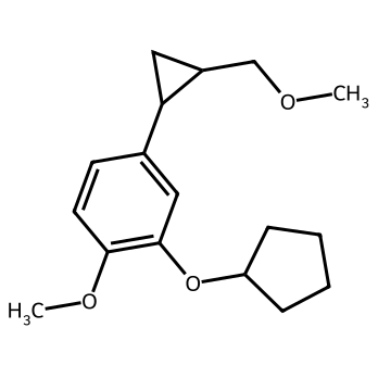 COCC1CC1c1ccc(OC)c(OC2CCCC2)c1